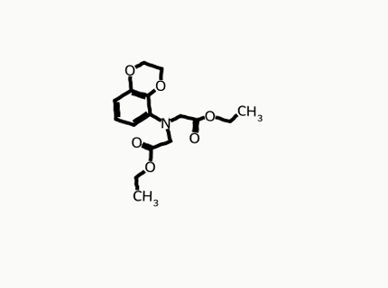 CCOC(=O)CN(CC(=O)OCC)c1cccc2c1OCCO2